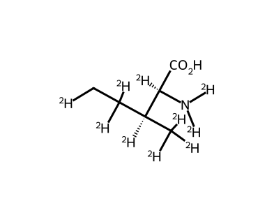 [2H]CC([2H])([2H])[C@]([2H])(C([2H])([2H])[2H])[C@@]([2H])(C(=O)O)N([2H])[2H]